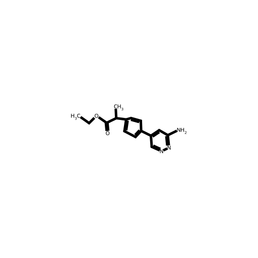 CCOC(=O)C(C)c1ccc(-c2cnnc(N)c2)cc1